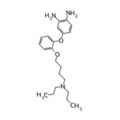 CCCN(CCC)CCCCOc1ccccc1Oc1ccc(N)c(N)c1